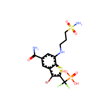 NC(=O)c1cc(NCCCS(N)(=O)=O)c2sc(C(F)(F)P(=O)(O)O)c(Br)c2c1